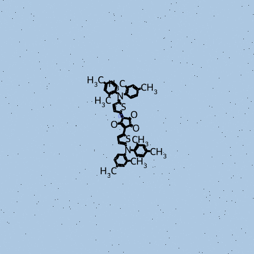 Cc1ccc(N(c2ccc(C3=C([O-])/C(=C4\C=CC(=[N+](c5ccc(C)cc5C)c5ccc(C)cc5C)S4)C(=O)C3=O)s2)c2ccc(C)cc2C)c(C)c1